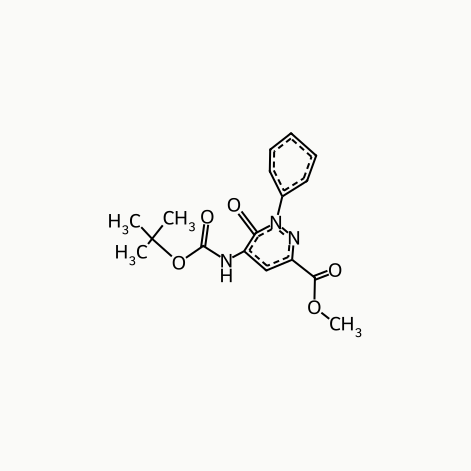 COC(=O)c1cc(NC(=O)OC(C)(C)C)c(=O)n(-c2ccccc2)n1